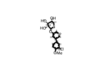 COc1ccc(-c2cncc(O[C@@H]3SC[C@@H](O)[C@H](O)[C@H]3O)c2)cc1Cl